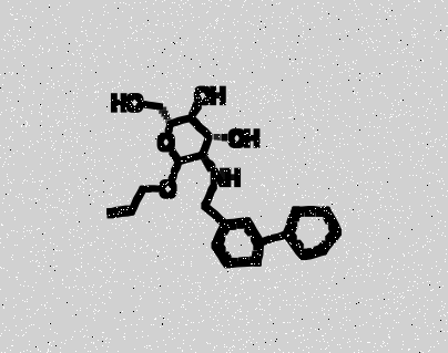 C=CCOC1O[C@H](CO)[C@@H](O)[C@H](O)[C@H]1NCc1cccc(-c2ccccc2)c1